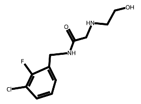 O=C(CNCCO)NCc1cccc(Cl)c1F